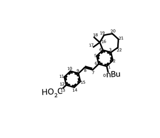 CCCCc1cc2c(cc1/C=C/c1ccc(C(=O)O)cc1)C(C)(C)CCCC2